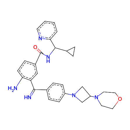 N=C(c1ccc(N2CC(N3CCOCC3)C2)cc1)c1cc(C(=O)NC(c2ccccn2)C2CC2)ccc1N